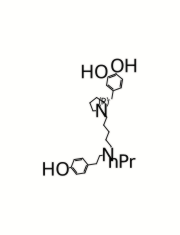 CCCN(CCCCCN1CCC[C@@H]1Cc1ccc(O)c(O)c1)CCc1ccc(O)cc1